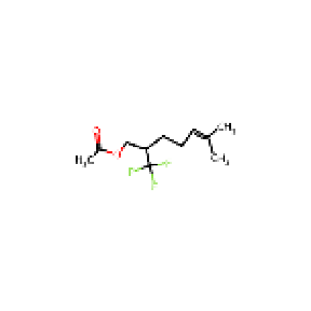 CC(=O)OCC(CCC=C(C)C)C(F)(F)F